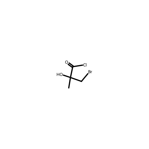 CC(O)(CBr)C(=O)Cl